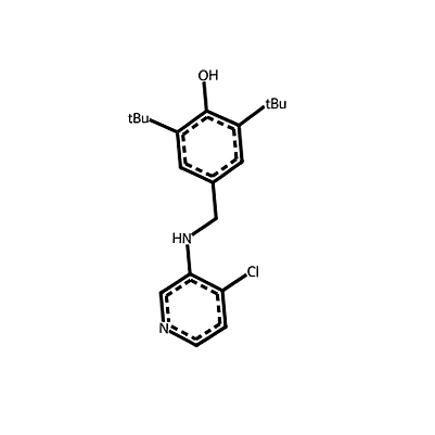 CC(C)(C)c1cc(CNc2cnccc2Cl)cc(C(C)(C)C)c1O